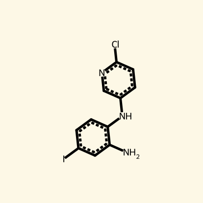 Nc1cc(I)ccc1Nc1ccc(Cl)nc1